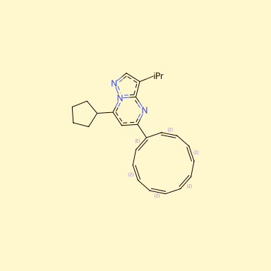 CC(C)c1cnn2c(C3CCCC3)cc(C3=C/C=C\C=C/C=C\C=C/C=C\3)nc12